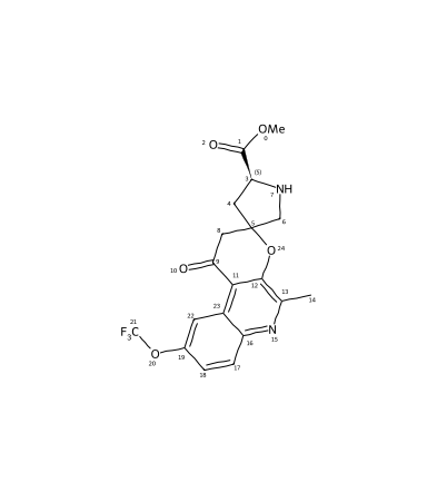 COC(=O)[C@@H]1CC2(CN1)CC(=O)c1c(c(C)nc3ccc(OC(F)(F)F)cc13)O2